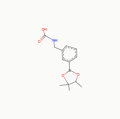 CC1OB(c2cccc(CNC(=O)O)c2)OC1(C)C